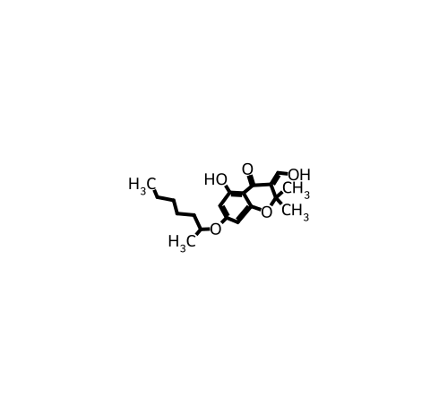 CCCCCC(C)Oc1cc(O)c2c(c1)OC(C)(C)C(=CO)C2=O